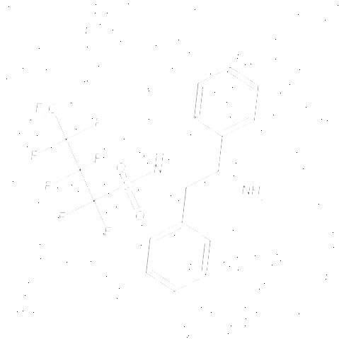 N[C@@H](c1ccccc1)[C@@H](NS(=O)(=O)C(F)(F)C(F)(F)C(F)(F)C(F)(F)F)c1ccccc1